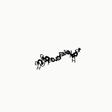 C[C@H]1CN(c2cc(-c3n[nH]c4ccc(OC5(C)CC5)cc34)ncn2)CCN1CC1(F)CCN(CC2CCN(c3ccc4c(c3F)CN(C3CCC(=O)NC3=O)C4=O)CC2)CC1